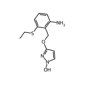 CCSc1cccc(N)c1COc1ccn(O)n1